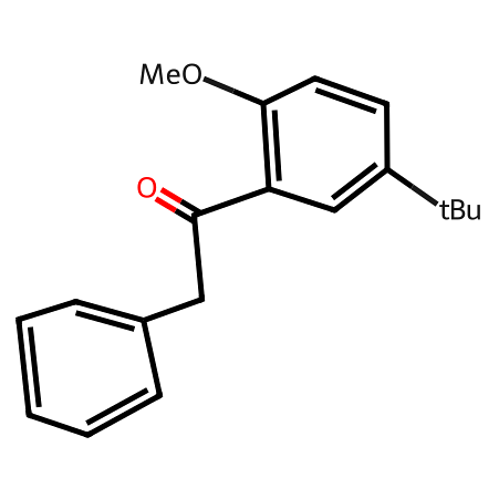 COc1ccc(C(C)(C)C)cc1C(=O)Cc1ccccc1